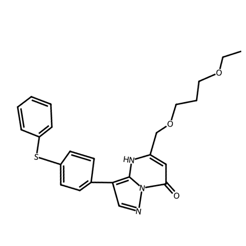 CCOCCCOCc1cc(=O)n2ncc(-c3ccc(Sc4ccccc4)cc3)c2[nH]1